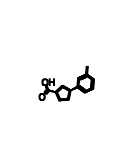 Cc1cccc([C@H]2CC[C@@H](C(=O)O)C2)c1